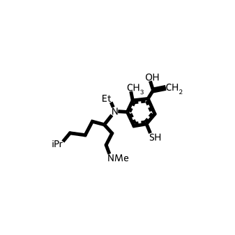 C=C(O)c1cc(S)cc(N(CC)C(CCCC(C)C)CCNC)c1C